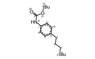 CC(C)(C)CCCc1ccc(NC(=O)OC(C)(C)C)cc1